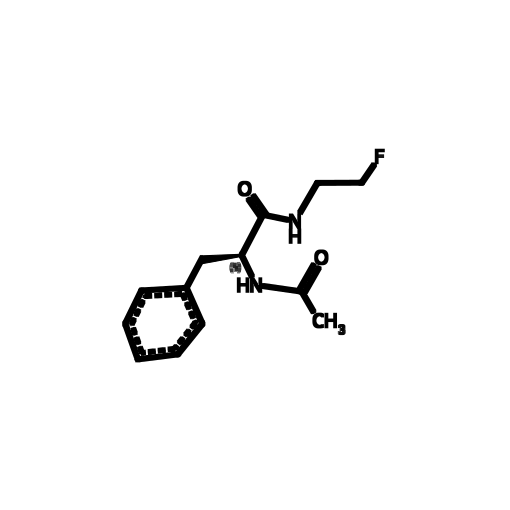 CC(=O)N[C@@H](Cc1ccccc1)C(=O)NCCF